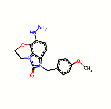 COc1ccc(Cn2c(=O)n3c4c(c(NN)ccc42)OCC3)cc1